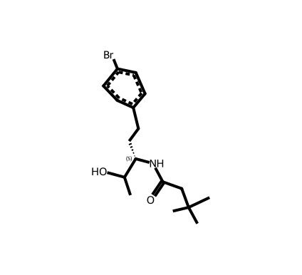 CC(O)[C@H](CCc1ccc(Br)cc1)NC(=O)CC(C)(C)C